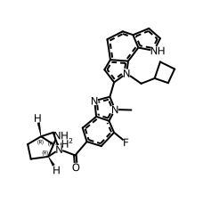 Cn1c(-c2cc3ccc4cc[nH]c4c3n2CC2CCC2)nc2cc(C(=O)N3C[C@H]4CC[C@@H]3[C@@H]4N)cc(F)c21